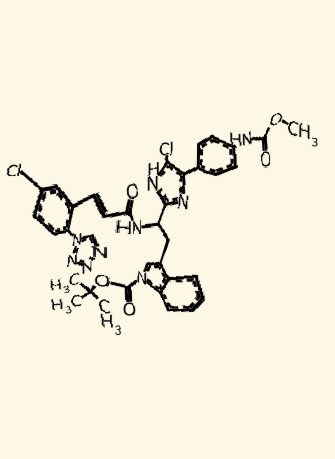 COC(=O)Nc1ccc(-c2nc(C(Cc3cn(C(=O)OC(C)(C)C)c4ccccc34)NC(=O)C=Cc3cc(Cl)ccc3-n3cnnn3)[nH]c2Cl)cc1